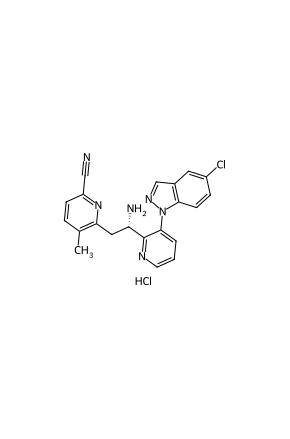 Cc1ccc(C#N)nc1C[C@H](N)c1ncccc1-n1ncc2cc(Cl)ccc21.Cl